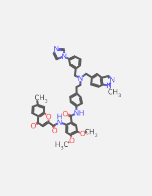 COc1cc(NC(=O)c2cc(=O)c3ccc(C)cc3o2)c(C(=O)Nc2ccc(CCN(Cc3cccc(-n4ccnc4)c3)Cc3ccc4c(cnn4C)c3)cc2)cc1OC